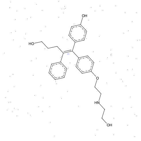 OCCC/C(=C(\c1ccc(O)cc1)c1ccc(OCCNCCO)cc1)c1ccccc1